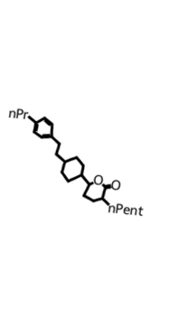 CCCCCC1CCC(C2CCC(CCc3ccc(CCC)cc3)CC2)OC1=O